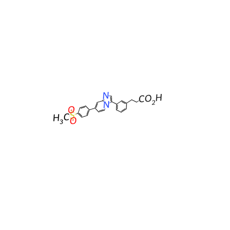 CS(=O)(=O)c1ccc(-c2ccn3c(-c4cccc(CCC(=O)O)c4)cnc3c2)cc1